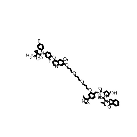 COc1cc2c(Oc3ccc(N(C(=O)C4(C(N)=O)CC4)c4ccc(F)cc4)cc3F)ccnc2cc1OCCCOCCCOCCCOc1cc(-c2scnc2C)ccc1CNC(=O)[C@@H]1C[C@@H](O)CN1C(=O)[C@H](C(C)C)N1Cc2ccccc2C1=O